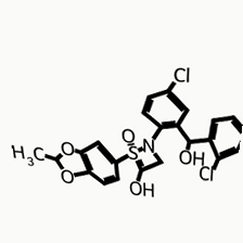 CC1Oc2ccc(S3(=O)=C(O)CN3c3ccc(Cl)cc3C(O)c3ccccc3Cl)cc2O1